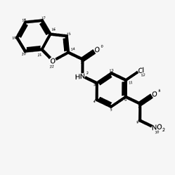 O=C(Nc1ccc(C(=O)C[N+](=O)[O-])c(Cl)c1)c1cc2ccccc2o1